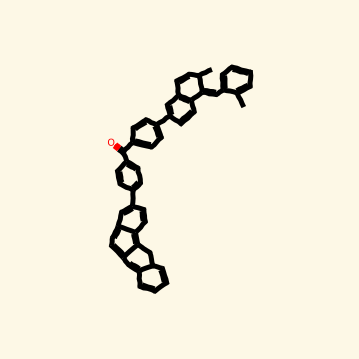 Cc1ccccc1/C=C1/c2ccc(-c3ccc(C(=O)c4ccc(-c5ccc6c7c(ccc6c5)C=C5C=CC=CC5C7)cc4)cc3)cc2C=CC1C